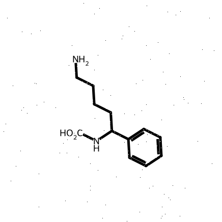 NCCCCC(NC(=O)O)c1ccccc1